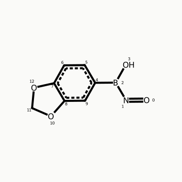 O=NB(O)c1ccc2c(c1)OCO2